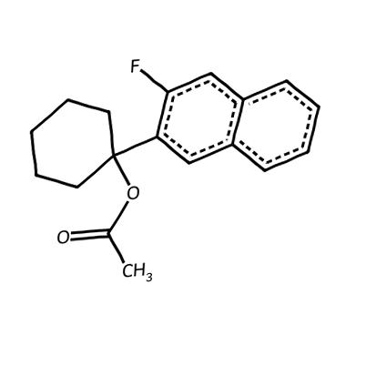 CC(=O)OC1(c2cc3ccccc3cc2F)CCCCC1